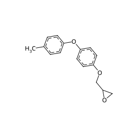 Cc1ccc(Oc2ccc(OCC3CO3)cc2)cc1